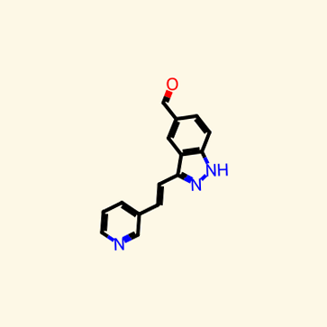 O=Cc1ccc2[nH]nc(C=Cc3cccnc3)c2c1